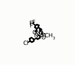 CCS(=O)(=O)c1ccc(-c2ccc(Cl)cc2)nc1-n1ncc2ccc(C(F)(F)F)cc2c1=O